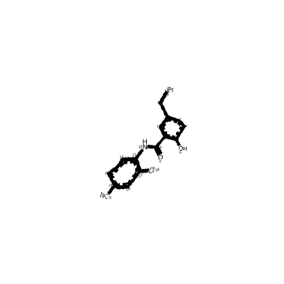 CC(C)Cc1ccc(O)c(C(=O)Nc2ccc(C#N)cc2Cl)c1